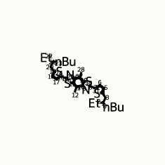 CCCCC(CC)Cc1ccc(-c2nc3c(C)c4sc(-c5ccc(CC(CC)CCCC)s5)nc4c(C)c3s2)s1